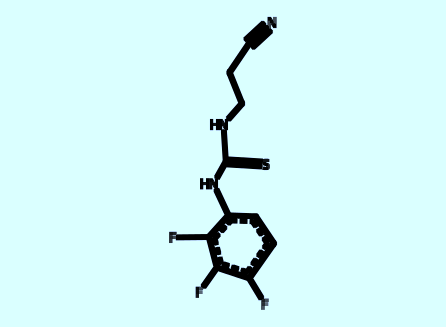 N#CCCNC(=S)Nc1ccc(F)c(F)c1F